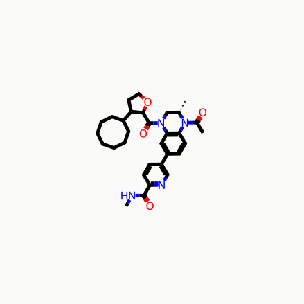 CNC(=O)c1ccc(-c2ccc3c(c2)N(C(=O)C2OCCC2C2CCCCCCC2)C[C@H](C)N3C(C)=O)cn1